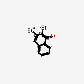 CCc1cc2ccccc2c([O])c1CC